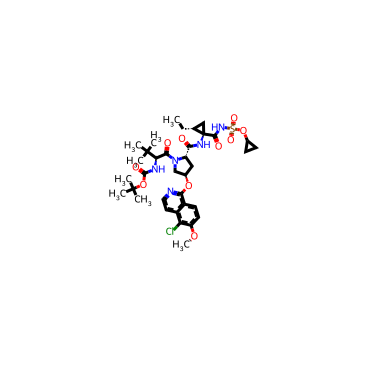 CC[C@@H]1C[C@]1(NC(=O)[C@@H]1C[C@@H](Oc2nccc3c(Cl)c(OC)ccc23)CN1C(=O)[C@@H](NC(=O)OC(C)(C)C)C(C)(C)C)C(=O)NS(=O)(=O)OC1CC1